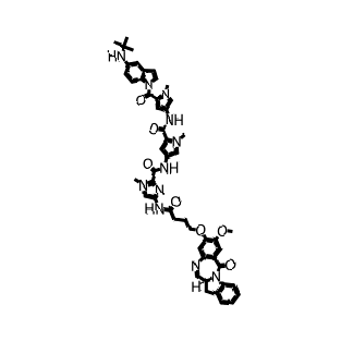 COc1cc2c(cc1OCCCC(=O)Nc1cn(C)c(C(=O)Nc3cc(C(=O)Nc4cc(C(=O)n5ccc6cc(NC(C)(C)C)ccc65)n(C)c4)n(C)c3)n1)N=C[C@@H]1Cc3ccccc3N1C2=O